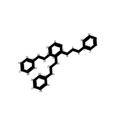 c1ccc(CCCc2cccc(CCc3ccccc3)c2CCCc2ccccc2)cc1